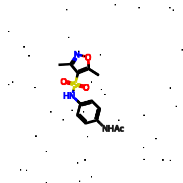 CC(=O)Nc1ccc(NS(=O)(=O)c2c(C)noc2C)cc1